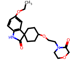 CCOc1ccc2c(c1)C1(CCC(OCCN3CCOCC3=O)CC1)C(=O)N2